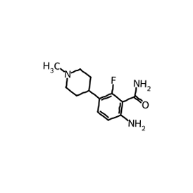 CN1CCC(c2ccc(N)c(C(N)=O)c2F)CC1